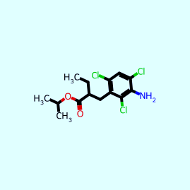 CCC(Cc1c(Cl)cc(Cl)c(N)c1Cl)C(=O)OC(C)C